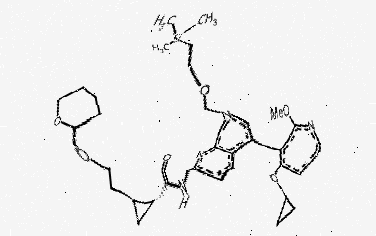 COc1nccc(OC2CC2)c1-c1cn(COCC[Si](C)(C)C)c2nc(NC(=O)[C@@H]3C[C@H]3CCOC3CCCCO3)ccc12